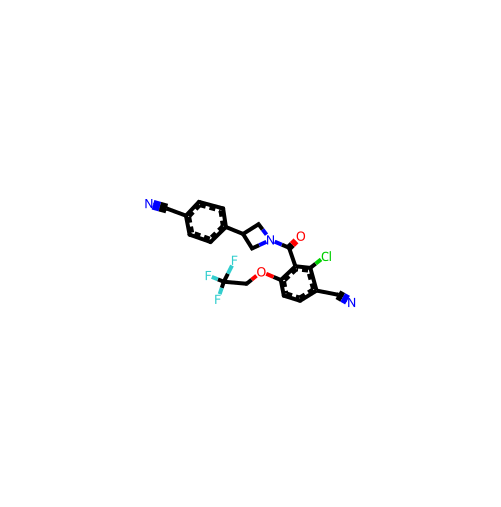 N#Cc1ccc(C2CN(C(=O)c3c(OCC(F)(F)F)ccc(C#N)c3Cl)C2)cc1